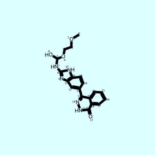 COCCOC(O)Nc1nc2cc(-c3n[nH]c(=O)c4ccccc34)ccc2[nH]1